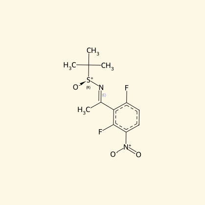 C/C(=N\[S@@+]([O-])C(C)(C)C)c1c(F)ccc([N+](=O)[O-])c1F